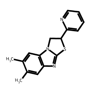 Cc1cc2nc3n(c2cc1C)CC(c1ccccn1)S3